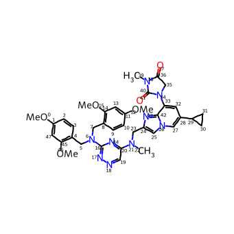 COc1ccc(CN(Cc2ccc(OC)cc2OC)c2nncc(N(C)Cc3cn4cc(C5CC5)cc(N5CC(=O)N(C)C5=O)c4n3)n2)c(OC)c1